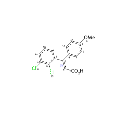 COc1ccc(/C(=C\C(=O)O)c2cccc(Cl)c2Cl)cc1